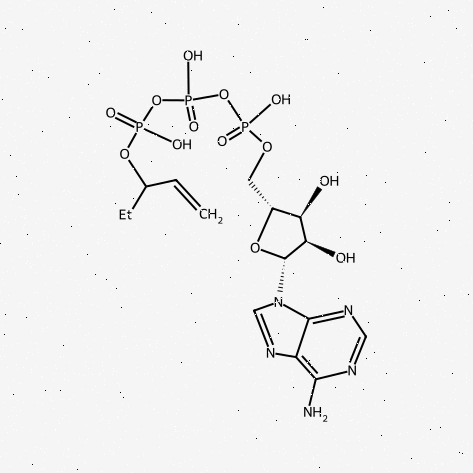 C=CC(CC)OP(=O)(O)OP(=O)(O)OP(=O)(O)OC[C@H]1O[C@@H](n2cnc3c(N)ncnc32)[C@H](O)[C@@H]1O